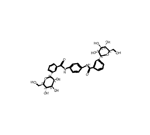 O=C(Nc1ccc(NC(=O)c2cccc([C@H]3O[C@H](CO)[C@@H](O)[C@H](O)[C@H]3O)c2)cc1)c1cccc([C@H]2O[C@H](CO)[C@@H](O)[C@H](O)[C@H]2O)c1